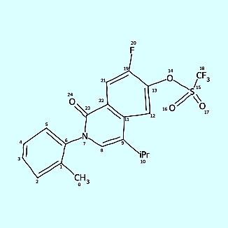 Cc1ccccc1-n1cc(C(C)C)c2cc(OS(=O)(=O)C(F)(F)F)c(F)cc2c1=O